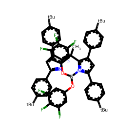 C/C(=C1/N=C(c2ccc(C(C)(C)C)cc2)C=C1c1ccc(C(C)(C)C)cc1)c1c(-c2ccc(C(C)(C)C)cc2)cc(-c2ccc(C(C)(C)C)cc2)n1B(Oc1cc(F)c(F)c(F)c1)Oc1cc(F)c(F)c(F)c1